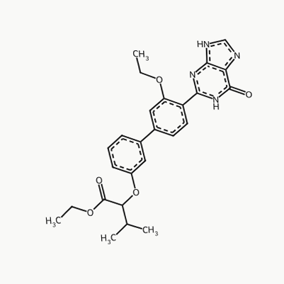 CCOC(=O)C(Oc1cccc(-c2ccc(-c3nc4[nH]cnc4c(=O)[nH]3)c(OCC)c2)c1)C(C)C